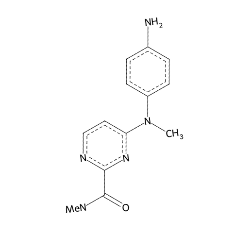 CNC(=O)c1nccc(N(C)c2ccc(N)cc2)n1